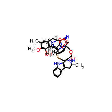 COc1c(C)cc2c(c1O)[C@@H]1[C@@H]3[C@@H]4SC[C@]5(N[C@@H](C)Cc6c5[nH]c5ccccc65)C(=O)OC[C@@H](c5c6c(c(C)c(C)c54)OCO6)N3[C@@H](C#N)[C@H](C2)N1C